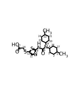 CC1CCC(N(C(=O)Nc2ncc(SCC(=O)O)s2)C2CCC(C)CC2)CC1